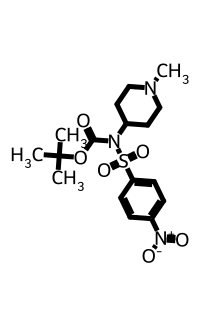 CN1CCC(N(C(=O)OC(C)(C)C)S(=O)(=O)c2ccc([N+](=O)[O-])cc2)CC1